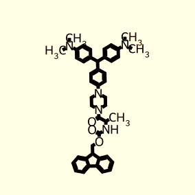 CC(NC(=O)OCC1c2ccccc2-c2ccccc21)C(=O)N1CCN(c2ccc(C(c3ccc(N(C)C)cc3)c3ccc(N(C)C)cc3)cc2)CC1